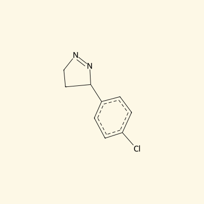 Clc1ccc(C2CCN=N2)cc1